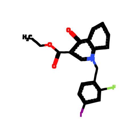 CCOC(=O)c1cn(Cc2ccc(I)cc2F)c2ccccc2c1=O